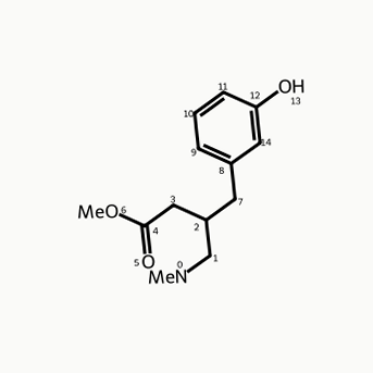 CNCC(CC(=O)OC)Cc1cccc(O)c1